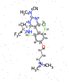 CC(Nc1nc(N(C)C#N)nc(Cl)c1-c1c(F)cc(OCCCN(C)C)cc1F)C(F)(F)F